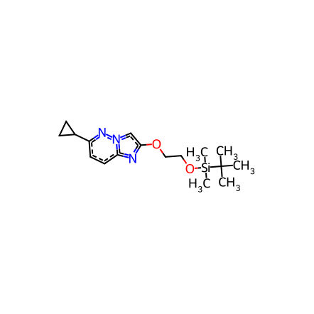 CC(C)(C)[Si](C)(C)OCCOc1cn2nc(C3CC3)ccc2n1